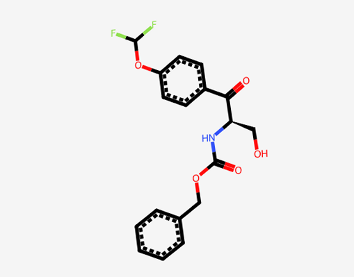 O=C(N[C@H](CO)C(=O)c1ccc(OC(F)F)cc1)OCc1ccccc1